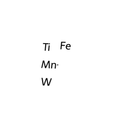 [Fe].[Mn].[Ti].[W]